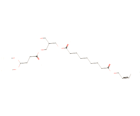 CCCCCC/C=C\COC(=O)CCCCCCCC(=O)OCC(CO)COC(=O)CCC(OCCCCCCC)OCCCCCCC